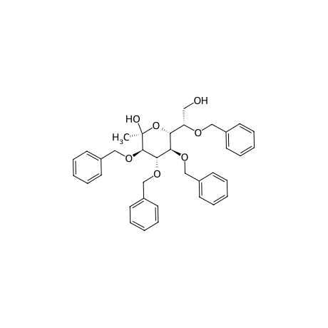 C[C@]1(O)O[C@H]([C@H](CO)OCc2ccccc2)[C@@H](OCc2ccccc2)[C@H](OCc2ccccc2)[C@H]1OCc1ccccc1